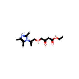 CCOC(=O)CC(=O)COCC(C)n1c(C)nc(C)c1C